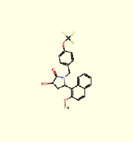 COc1ccc2ccccc2c1C1CC(O)C(=O)N1Cc1ccc(OC(F)(F)F)cc1